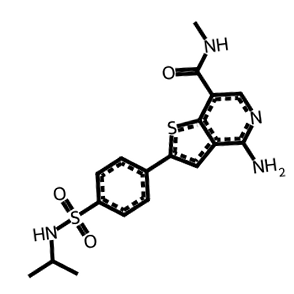 CNC(=O)c1cnc(N)c2cc(-c3ccc(S(=O)(=O)NC(C)C)cc3)sc12